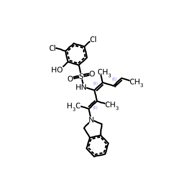 C/C=C/C(C)=C(NS(=O)(=O)c1cc(Cl)cc(Cl)c1O)\C(C)=C(/C)N1Cc2ccccc2C1